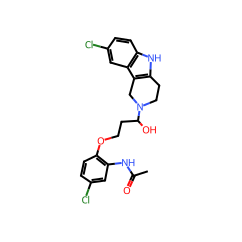 CC(=O)Nc1cc(Cl)ccc1OCCC(O)N1CCc2[nH]c3ccc(Cl)cc3c2C1